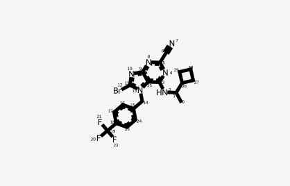 CC(Nc1nc(C#N)nc2nc(Br)n(Cc3ccc(C(F)(F)F)cc3)c12)C1CCC1